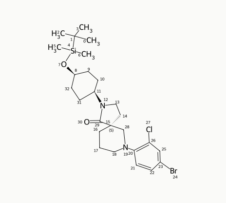 CC(C)(C)[Si](C)(C)O[C@H]1CC[C@@H](N2CC[C@]3(CCCN(c4ccc(Br)cc4Cl)C3)C2=O)CC1